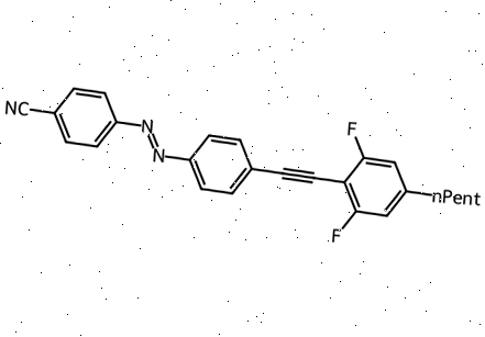 CCCCCc1cc(F)c(C#Cc2ccc(N=Nc3ccc(C#N)cc3)cc2)c(F)c1